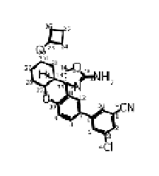 N#Cc1cc(Cl)cc(-c2ccc3c(c2)[C@@]2(COC(N)=N2)[C@H]2C[C@@H](OC4CCC4)CCC2O3)c1